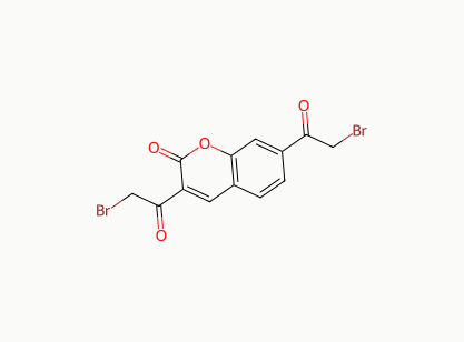 O=C(CBr)c1ccc2cc(C(=O)CBr)c(=O)oc2c1